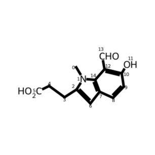 Cn1c(CCC(=O)O)cc2ccc(O)c(C=O)c21